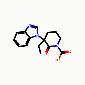 CCC1(n2cnc3ccccc32)CCCN(C(=O)O)C1=O